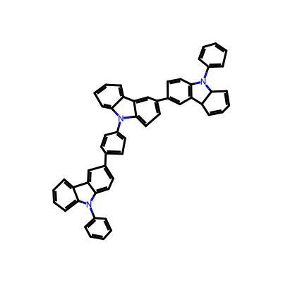 C1=CC2c3cc(-c4ccc5c(c4)c4ccccc4n5-c4ccc(-c5ccc6c(c5)c5ccccc5n6-c5ccccc5)cc4)ccc3N(c3ccccc3)C2C=C1